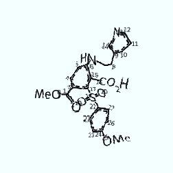 COC(=O)c1ccc(NCc2cccnc2)c(C(=O)O)c1S(=O)(=O)c1ccc(OC)cc1